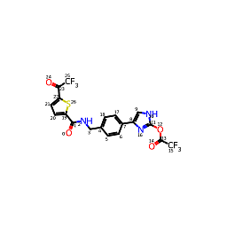 O=C(NCc1ccc(-c2c[nH]c(OC(=O)C(F)(F)F)n2)cc1)c1ccc(C(=O)C(F)(F)F)s1